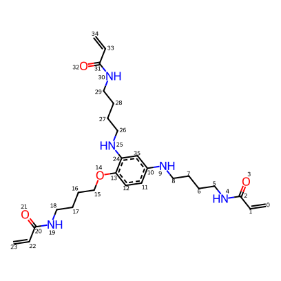 C=CC(=O)NCCCCNc1ccc(OCCCCNC(=O)C=C)c(NCCCCNC(=O)C=C)c1